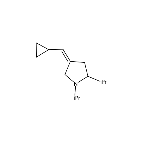 CC(C)C1C/C(=C/C2CC2)CN1C(C)C